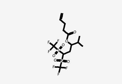 C=CCCC(=O)OC(CC(S(=O)(=O)C(F)(F)F)S(=O)(=O)C(F)(F)F)C(C)C